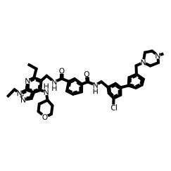 CCc1nc2c(cnn2CC)c(NC2CCOCC2)c1CNC(=O)c1cccc(C(=O)NCc2cc(Cl)cc(-c3cccc(CN4CCN(C)CC4)c3)c2)c1